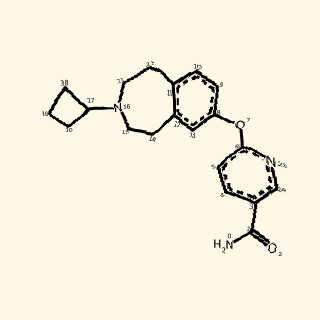 NC(=O)c1ccc(Oc2ccc3c(c2)CCN(C2CCC2)CC3)nc1